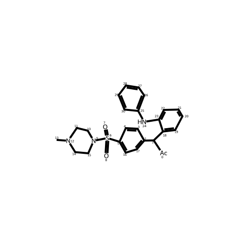 CC(=O)C(c1ccc(S(=O)(=O)N2CCN(C)CC2)cc1)c1ccccc1Nc1ccccc1